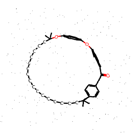 CC1(C)CCCCCCCCCCCCCCCCC(C)(C)c2ccc(cc2)C(=O)c2ccc(cc2)Oc2ccc(cc2)O1